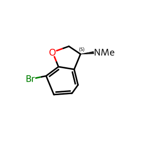 CN[C@@H]1COc2c(Br)cccc21